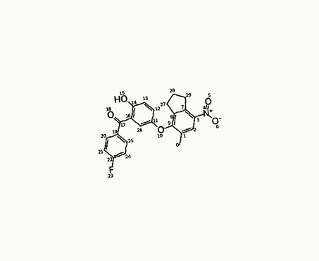 Cc1cc([N+](=O)[O-])c2c(c1Oc1ccc(O)c(C(=O)c3ccc(F)cc3)c1)CCC2